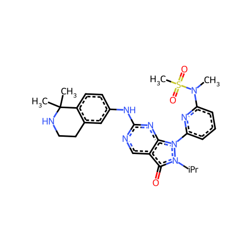 CC(C)n1c(=O)c2cnc(Nc3ccc4c(c3)CCNC4(C)C)nc2n1-c1cccc(N(C)S(C)(=O)=O)n1